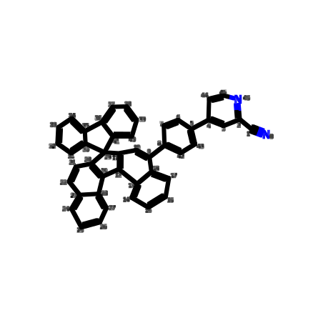 N#Cc1cc(-c2ccc(-c3cc4c(c5ccccc35)-c3c(ccc5ccccc35)C43c4ccccc4-c4ccccc43)cc2)ccn1